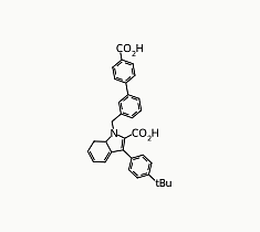 CC(C)(C)c1ccc(C2=C(C(=O)O)N(Cc3cccc(-c4ccc(C(=O)O)cc4)c3)C3CC=CC=C23)cc1